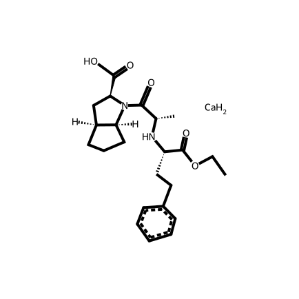 CCOC(=O)[C@H](CCc1ccccc1)N[C@@H](C)C(=O)N1[C@H](C(=O)O)C[C@@H]2CCC[C@@H]21.[CaH2]